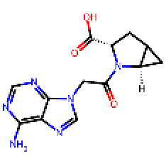 Nc1ncnc2c1ncn2CC(=O)N1[C@@H]2CC2C[C@H]1C(=O)O